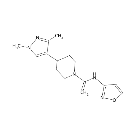 C=C(Nc1ccon1)N1CCC(c2cn(C)nc2C)CC1